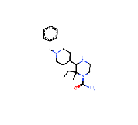 CCC1(C)C(C2CCN(Cc3ccccc3)CC2)NCCN1C(N)=O